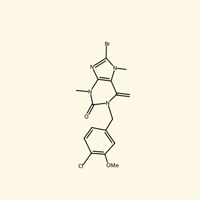 C=C1c2c(nc(Br)n2C)N(C)C(=O)N1Cc1ccc(Cl)c(OC)c1